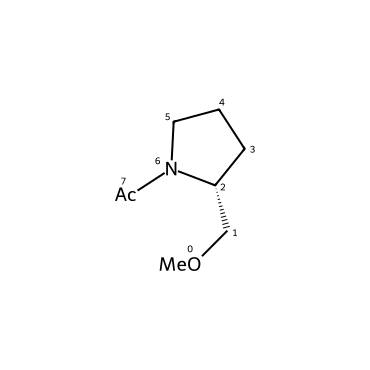 COC[C@H]1CCCN1C(C)=O